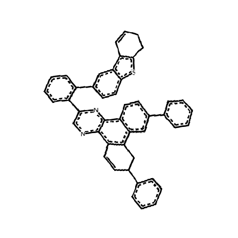 C1=Cc2c(sc3ccc(-c4ccccc4-c4cnc5c6c(c7cc(-c8ccccc8)ccc7c5n4)CC(c4ccccc4)C=C6)cc23)CC1